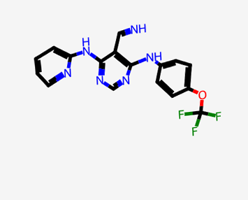 N=Cc1c(Nc2ccc(OC(F)(F)F)cc2)ncnc1Nc1ccccn1